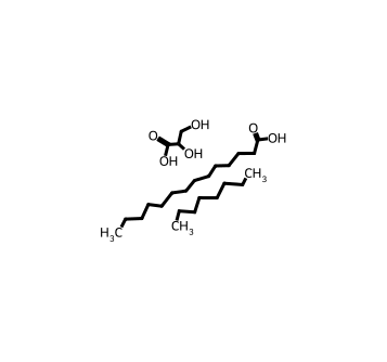 CCCCCCCC.CCCCCCCCCCCCCC(=O)O.O=C(O)C(O)CO